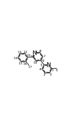 Cc1cccc(-c2ccnc(-c3ccccc3C)c2)n1